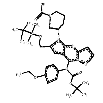 CCOc1ccc(N(C(=O)OC(C)(C)C)c2c3cc(CO[Si](C)(C)C(C)(C)C)n([C@H]4CCCN(C(=O)O)C4)c3nc3ccnn23)cc1